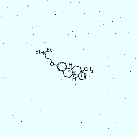 CCN(CC)CCOc1ccc2c(c1)CC[C@@H]1[C@@H]2CC[C@]2(C)C=CC[C@@H]12